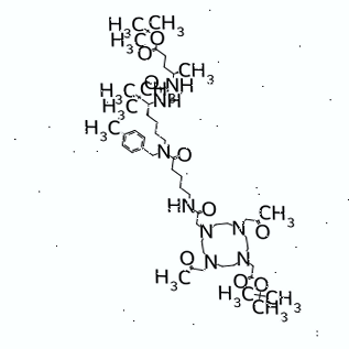 CC(=O)CN1CCN(CC(=O)NCCCCC(=O)N(CCCC[C@H](NC(=O)N[C@H](C)CCC(=O)OC(C)(C)C)C(C)(C)C)Cc2ccc(C)cc2)CCN(CC(C)=O)CCN(CC(=O)OC(C)(C)C)CC1